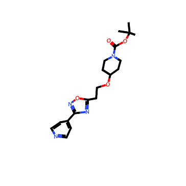 CC(C)(C)OC(=O)N1CCC(OCCc2nc(-c3ccncc3)no2)CC1